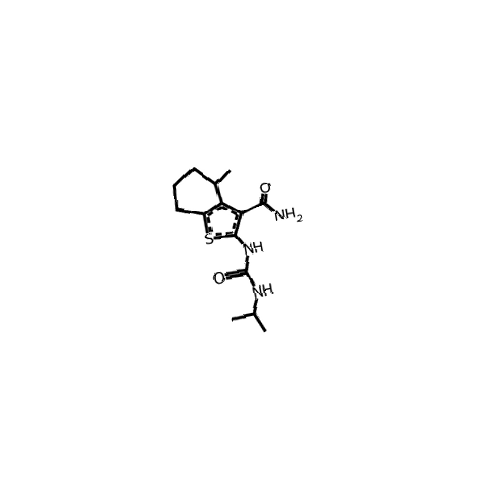 CC(C)NC(=O)Nc1sc2c(c1C(N)=O)C(C)CCC2